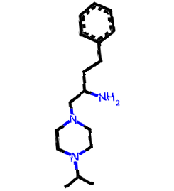 CC(C)N1CCN(CC(N)CCc2ccccc2)CC1